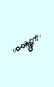 COc1ccc(-c2ccc(S(=O)(=O)N(C)[N+](Cc3ccccc3)(C3CCC(CC(=O)O)CC3)S(C)(=O)=O)cc2)cc1